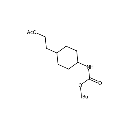 CC(=O)OCCC1CCC(NC(=O)OC(C)(C)C)CC1